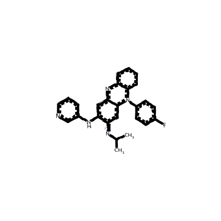 CC(C)/N=c1\cc2n(-c3ccc(F)cc3)c3ccccc3nc-2cc1Nc1cccnc1